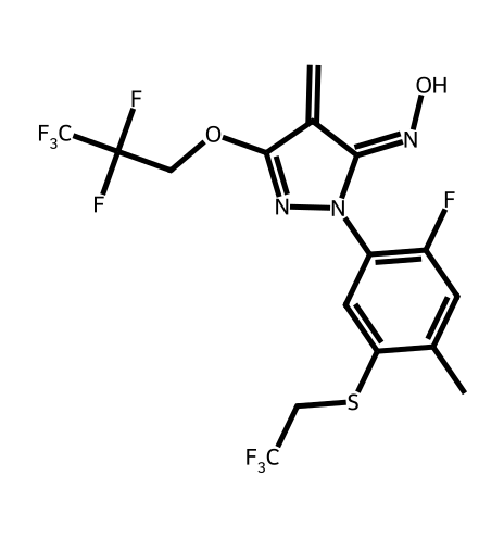 C=C1C(OCC(F)(F)C(F)(F)F)=NN(c2cc(SCC(F)(F)F)c(C)cc2F)C1=NO